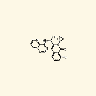 C[C@H](Nc1ncnc2cccnc12)c1cc2cccc(Cl)c2c(=O)n1C1CC1